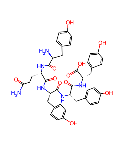 NC(=O)CC[C@H](NC(=O)[C@@H](N)Cc1ccc(O)cc1)C(=O)N[C@@H](Cc1ccc(O)cc1)C(=O)N[C@@H](Cc1ccc(O)cc1)C(=O)N[C@@H](Cc1ccc(O)cc1)C(=O)O